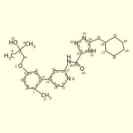 Cc1ccc(OCC(C)(C)O)cc1-c1ccnc(NC(=O)c2nnc(CC3CCCCC3)[nH]2)c1